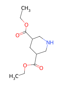 CCOC(=O)C1CNCC(C(=O)OCC)C1